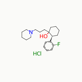 Cl.O[C@@]1(CCCN2CCCCC2)CCCC[C@H]1c1ccccc1F